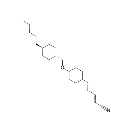 CCCCC[C@H]1CC[C@H](COC2CCC(C=CC=CC#N)CC2)CC1